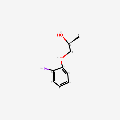 C[C@H](O)COc1ccccc1I